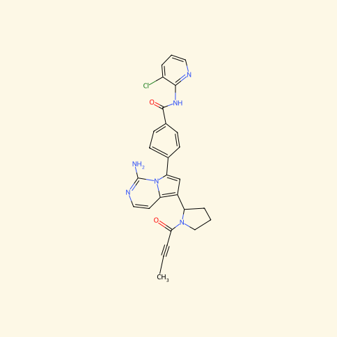 CC#CC(=O)N1CCCC1c1cc(-c2ccc(C(=O)Nc3ncccc3Cl)cc2)n2c(N)nccc12